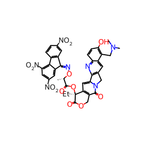 CC[C@@]1(OC(=O)[C@H](C)O/N=C2/c3cc([N+](=O)[O-])ccc3-c3c2cc([N+](=O)[O-])cc3[N+](=O)[O-])C(=O)OCc2c1cc1n(c2=O)Cc2cc3c(CN(C)C)c(O)ccc3nc2-1